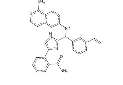 C=Cc1cccc(C(Nc2ccc3c(N)nccc3c2)c2nc(-c3ccccc3C(N)=O)c[nH]2)c1